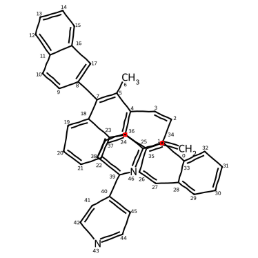 C=C(/C=C\c1c(C)c(-c2ccc3ccccc3c2)c2ccccc2c1-c1ccc2ccccc2c1)c1cccc(-c2ccncc2)n1